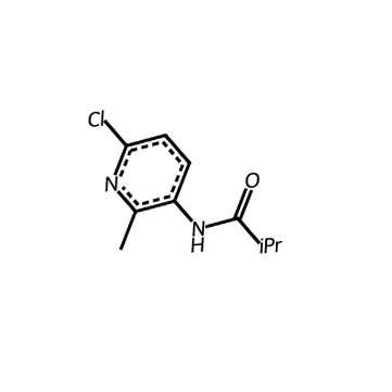 Cc1nc(Cl)ccc1NC(=O)C(C)C